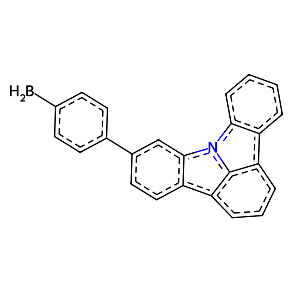 Bc1ccc(-c2ccc3c4cccc5c6ccccc6n(c3c2)c54)cc1